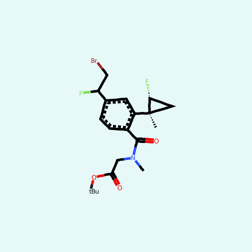 CN(CC(=O)OC(C)(C)C)C(=O)c1ccc(C(F)CBr)cc1[C@]1(C)C[C@H]1F